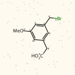 COc1cc(CBr)cc(CC(=O)O)c1